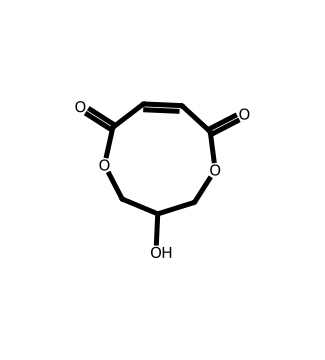 O=C1/C=C\C(=O)OCC(O)CO1